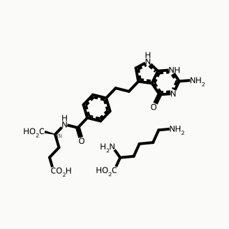 NCCCCC(N)C(=O)O.Nc1nc(=O)c2c(CCc3ccc(C(=O)N[C@@H](CCC(=O)O)C(=O)O)cc3)c[nH]c2[nH]1